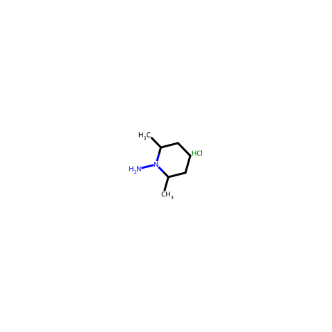 CC1CCCC(C)N1N.Cl